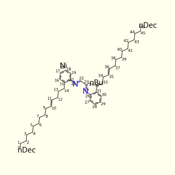 CCCCCCCCCCCCCCCCCCCC=CCCCc1ccccc1N=CC(CCCC)=Nc1ccccc1CCCC=CCCCCCCCCCCCCCCCCCCC.[Ni]